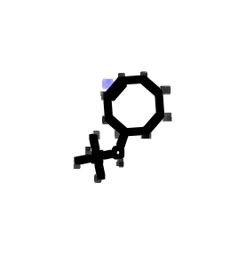 C[Si](C)(C)OC1C/C=C\CCCC1